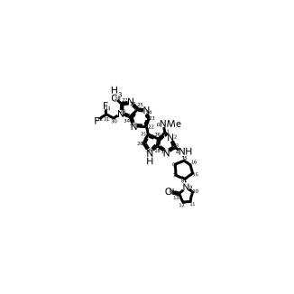 CNc1nc(N[C@H]2CC[C@@H](N3CCCC3=O)CC2)nc2[nH]cc(-c3cnc4nc(C)n(CC(F)F)c4n3)c12